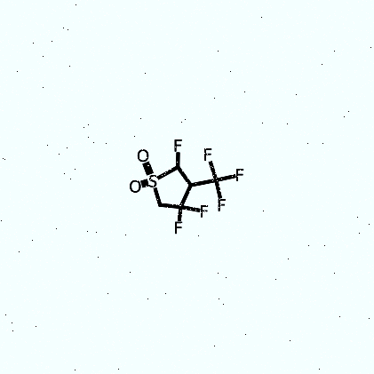 O=S1(=O)CC(F)(F)C(C(F)(F)F)C1F